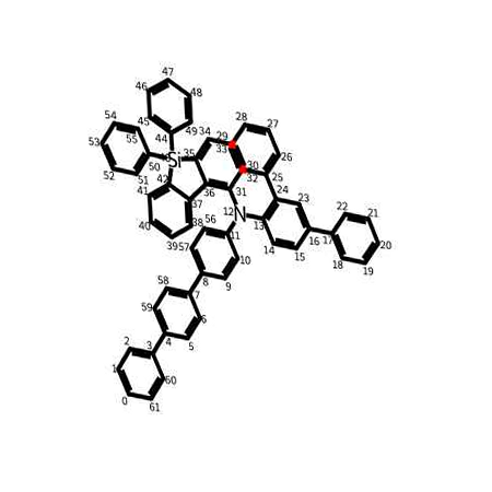 c1ccc(-c2ccc(-c3ccc(N(c4ccc(-c5ccccc5)cc4-c4ccccc4)c4cccc5c4-c4ccccc4[Si]5(c4ccccc4)c4ccccc4)cc3)cc2)cc1